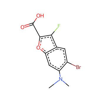 CN(C)c1cc2oc(C(=O)O)c(F)c2cc1Br